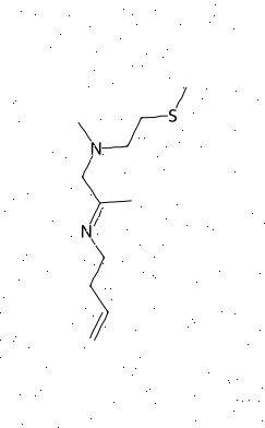 C=CCC/N=C(\C)CN(C)CCSC